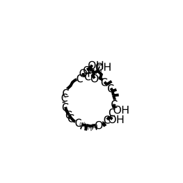 C=C1CC(O)CC(O)CCC(C)C(C)CC(C)CC2(C)C[C@H](O)C(C(=O)O)C(CC(O)CCCCCCCCCCCCCC[C@H](C)C(C)[C@@H](C)[C@H](C)O1)O2